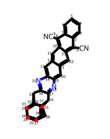 N#Cc1c2ccccc2c(C#N)c2cc3cc4nc5c(nc4cc3cc12)C1c2ccccc2C5c2ccccc21